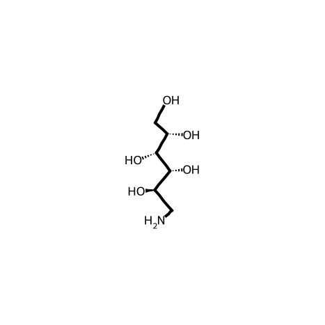 NC[C@@H](O)[C@@H](O)[C@H](O)[C@@H](O)CO